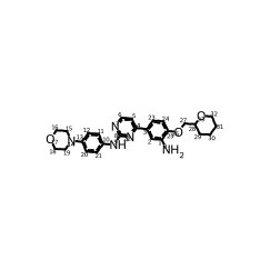 Nc1cc(-c2ccnc(Nc3ccc(N4CCOCC4)cc3)n2)ccc1OCC1CCCCO1